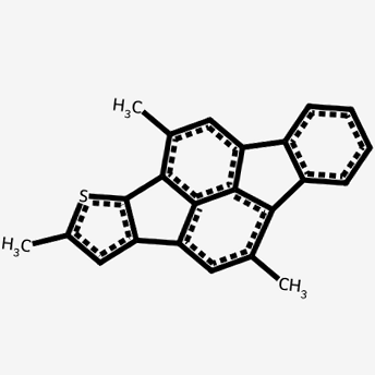 Cc1cc2c(s1)-c1c(C)cc3c4c(c(C)cc-2c14)-c1ccccc1-3